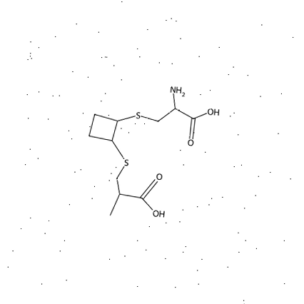 CC(CSC1CCC1SCC(N)C(=O)O)C(=O)O